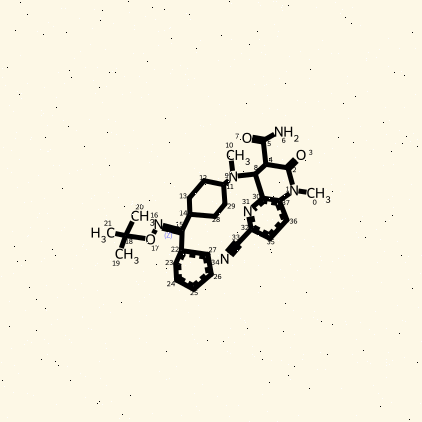 CN1C(=O)C(C(N)=O)C(N(C)C2CCC(/C(=N/OC(C)(C)C)c3ccccc3)CC2)c2nc(C#N)ccc21